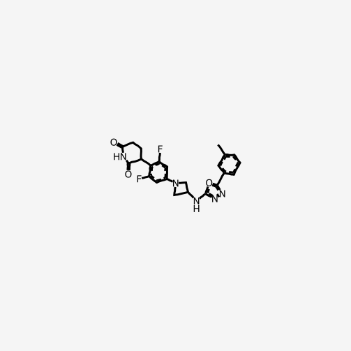 Cc1cccc(-c2nnc(NC3CN(c4cc(F)c(C5CCC(=O)NC5=O)c(F)c4)C3)o2)c1